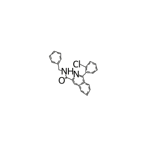 O=C(NCc1ccccc1)c1cc2ccccc2c(-c2ccccc2Cl)n1